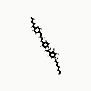 CCCCCCCOc1ccc(C(=O)Oc2ccc(CCC=CC3CCC(CCCCC)CC3)cc2)c(F)c1F